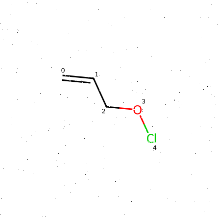 C=CCOCl